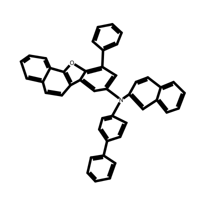 c1ccc(-c2ccc(N(c3ccc4ccccc4c3)c3cc(-c4ccccc4)c4oc5c6ccccc6ccc5c4c3)cc2)cc1